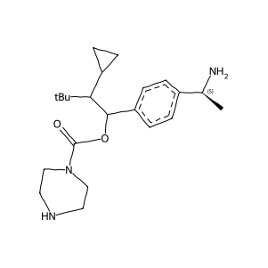 C[C@H](N)c1ccc(C(OC(=O)N2CCNCC2)C(C2CC2)C(C)(C)C)cc1